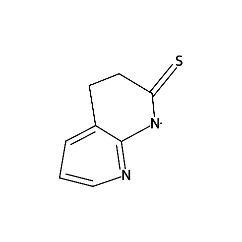 S=C1CCc2cccnc2[N]1